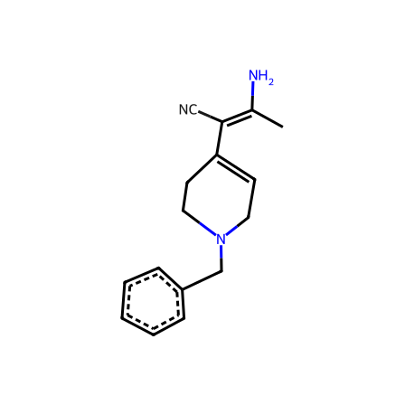 C/C(N)=C(/C#N)C1=CCN(Cc2ccccc2)CC1